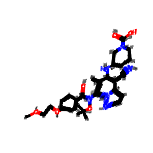 COCCOc1ccc(C(=O)N(OC(C)(C)C)c2c(C)c(N[C@H]3CCCN(C(=O)O)C3)c(C#N)c3ccnn23)cc1